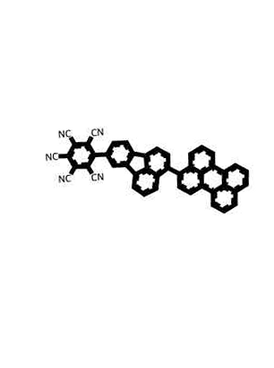 N#Cc1c(C#N)c(C#N)c(-c2ccc3c(c2)-c2cccc4c(-c5ccc6c7cccc8cccc(c9cccc5c96)c87)ccc-3c24)c(C#N)c1C#N